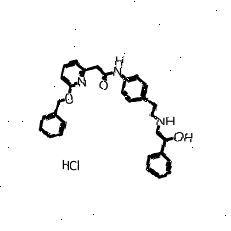 Cl.O=C(Cc1cccc(OCc2ccccc2)n1)Nc1ccc(CCNCC(O)c2ccccc2)cc1